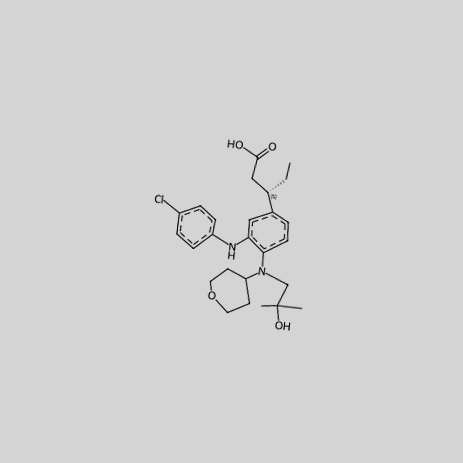 CC[C@@H](CC(=O)O)c1ccc(N(CC(C)(C)O)C2CCOCC2)c(Nc2ccc(Cl)cc2)c1